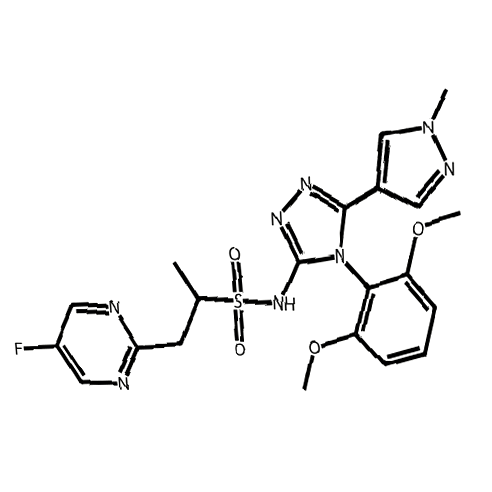 COc1cccc(OC)c1-n1c(NS(=O)(=O)C(C)Cc2ncc(F)cn2)nnc1-c1cnn(C)c1